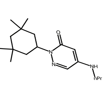 CCCNc1cnn(C2CC(C)(C)CC(C)(C)C2)c(=O)c1